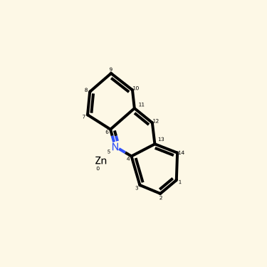 [Zn].c1ccc2nc3ccccc3cc2c1